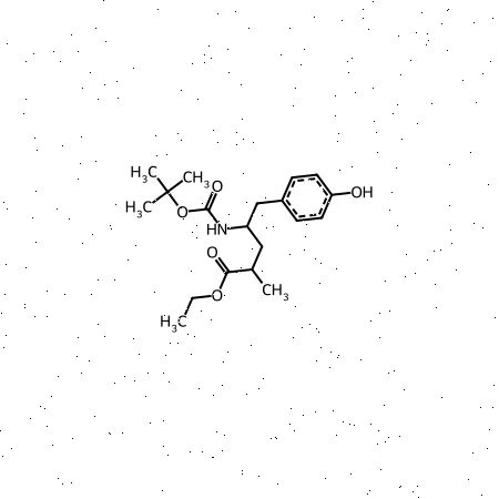 CCOC(=O)C(C)CC(Cc1ccc(O)cc1)NC(=O)OC(C)(C)C